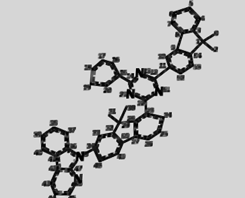 CC1(C)c2ccccc2-c2cc(-c3nc(-c4ccccc4)nc(-c4cccc5c4C(C)(C)c4cc(-n6c7ccccc7c7cccnc76)ccc4-5)n3)ccc21